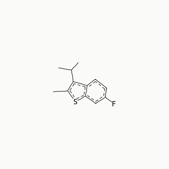 Cc1sc2cc(F)ccc2c1C(C)C